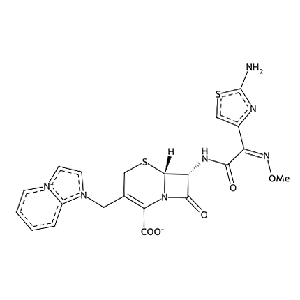 CO/N=C(\C(=O)N[C@@H]1C(=O)N2C(C(=O)[O-])=C(Cn3cc[n+]4ccccc34)CS[C@H]12)c1csc(N)n1